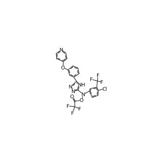 O=C(ON(c1ccc(Cl)c(C(F)(F)F)c1)c1nnc(-c2cccc(Oc3ccncc3)c2)[nH]1)C(F)(F)F